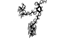 COC(C)(F)C(F)(F)OC(C)(F)COCCOc1cc(C(=O)O)ccc1OCCOCC(F)(OC(F)(F)C(F)(OC)C(F)(F)F)C(F)(F)F